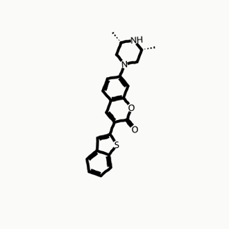 C[C@@H]1CN(c2ccc3cc(-c4cc5ccccc5s4)c(=O)oc3c2)C[C@H](C)N1